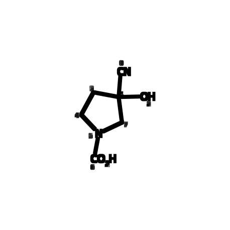 N#CC1(O)CCN(C(=O)O)C1